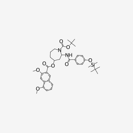 COc1cc2c(OC)cccc2cc1C(=O)OC1CCCN(C(=O)OC(C)(C)C)C(NC(=O)c2ccc(O[Si](C)(C)C(C)(C)C)cc2)C1